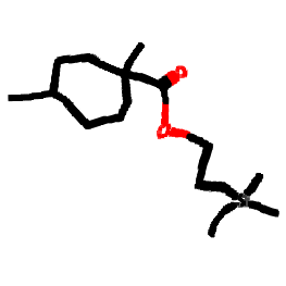 CC1CCC(C)(C(=O)OCC[Si](C)(C)C)CC1